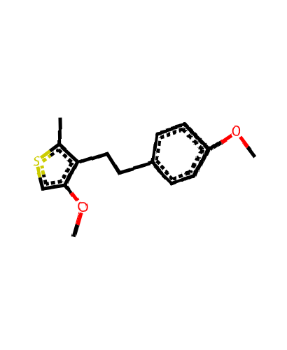 COc1ccc(CCc2c(OC)csc2C)cc1